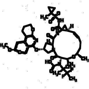 COc1ccc2c(O[C@@H]3C[C@H]4C(=O)N[C@]5(C(=O)NS(=O)(=O)C6(C)CC6)C[C@H]5/C=C\CC[C@@H](C)O[C@@H](C)[C@H](N(C(=O)O)C(C)(C)C(C)(F)F)C(=O)N4C3)nc3c(c2c1)CCCO3